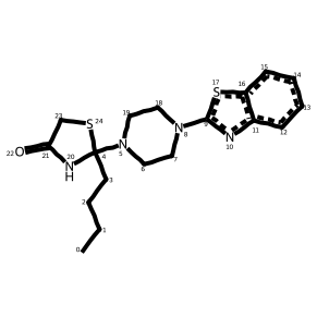 CCCCC1(N2CCN(c3nc4ccccc4s3)CC2)NC(=O)CS1